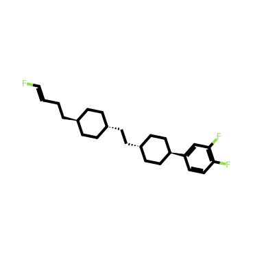 FC=CCC[C@H]1CC[C@H](CC[C@H]2CC[C@H](c3ccc(F)c(F)c3)CC2)CC1